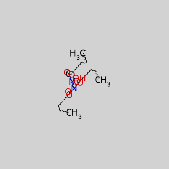 CCCCC/C=C\C/C=C\CCCCCCCCOC(=O)CCCN(CCCC(=O)OCCCCCCCC/C=C\C/C=C\CCCCC)CCCN(CCO)CCCC(=C=O)OCCCCCCCC/C=C\C/C=C\CCCCC